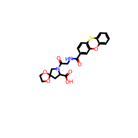 O=C(NCC(=O)N1CC2(CC1C(=O)O)OCCO2)c1ccc2c(c1)Oc1ccccc1S2